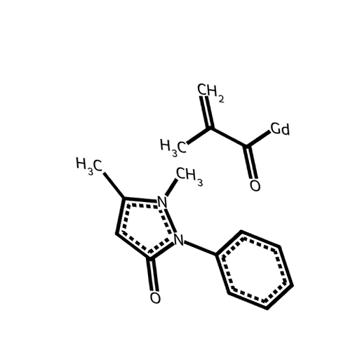 C=C(C)[C](=O)[Gd].Cc1cc(=O)n(-c2ccccc2)n1C